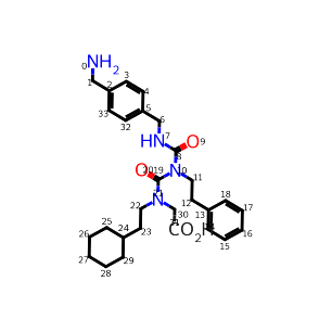 NCc1ccc(CNC(=O)N(CCc2ccccc2)C(=O)N(CCC2CCCCC2)CC(=O)O)cc1